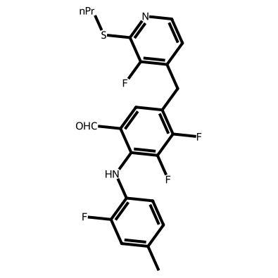 CCCSc1nccc(Cc2cc(C=O)c(Nc3ccc(C)cc3F)c(F)c2F)c1F